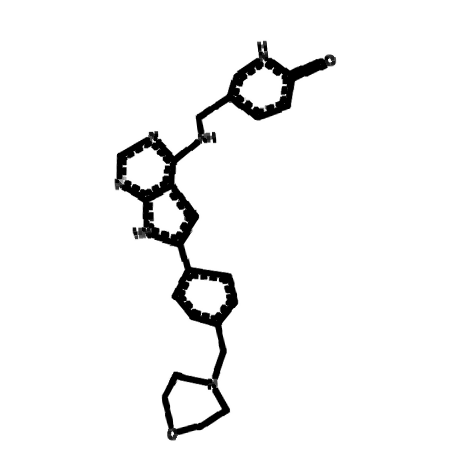 O=c1ccc(CNc2ncnc3[nH]c(-c4ccc(CN5CCOCC5)cc4)cc23)c[nH]1